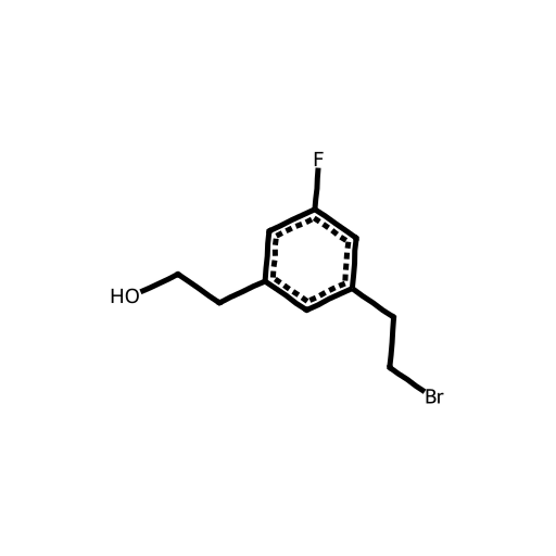 OCCc1cc(F)cc(CCBr)c1